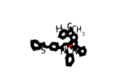 CC1(C)c2ccccc2-c2c(-c3cc(-c4ccc(-c5cc6ccccc6s5)cc4)nc(-c4ccccc4-n4c5ccccc5c5ccccc54)n3)cccc21